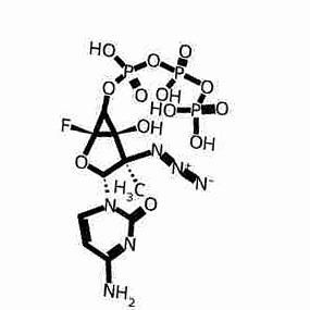 C[C@]1(N=[N+]=[N-])[C@H](n2ccc(N)nc2=O)O[C@]2(F)C(OP(=O)(O)OP(=O)(O)OP(=O)(O)O)[C@]12O